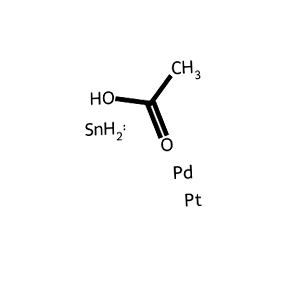 CC(=O)O.[Pd].[Pt].[SnH2]